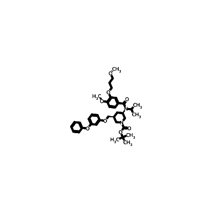 COCCCOc1cc(C(=O)N(C(C)C)[C@@H]2C[C@H](COc3cccc(Oc4ccccc4)c3)CN(C(=O)OC(C)(C)C)C2)ccc1OC